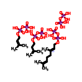 C=C(C)CCOP(=O)(O)OP(=O)(O)O.CC(C)=CCC/C(C)=C/COP(=O)(O)OP(=O)(O)O.CC(C)=CCOP(=O)(O)OP(=O)(O)O.O=P(O)(O)OP(=O)(O)O